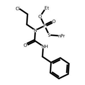 CCCSP(=O)(OCC)N(CCCl)C(=O)NCc1ccccc1